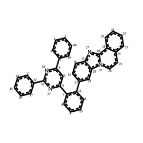 c1ccc(-c2cc(-c3ccccc3-c3ccc4nc5c6ccccc6ccn5c4c3)nc(-c3ccccc3)n2)cc1